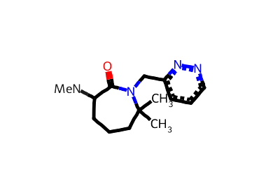 CNC1CCCC(C)(C)N(Cc2cccnn2)C1=O